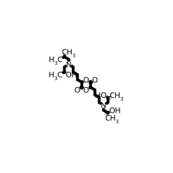 CC(C)CN(CCCCC1OC(=O)C(CCCCN(C[C@@H](C)O)C[C@@H](C)O)OC1=O)CC(C)O